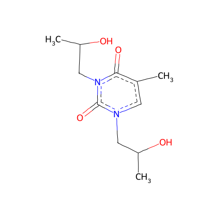 Cc1cn(CC(C)O)c(=O)n(CC(C)O)c1=O